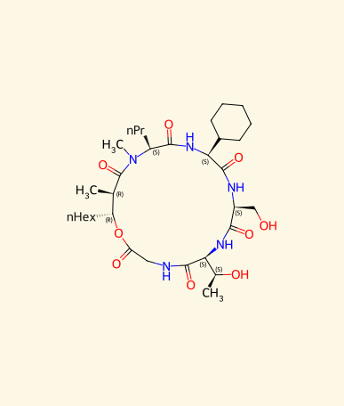 CCCCCC[C@H]1OC(=O)CNC(=O)[C@H]([C@H](C)O)NC(=O)[C@H](CO)NC(=O)[C@H](C2CCCCC2)NC(=O)[C@H](CCC)N(C)C(=O)[C@@H]1C